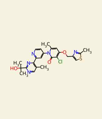 Cc1nc(COc2cc(C)n(-c3ccnc(-c4nc(C(C)(C)O)ncc4C)c3)c(=O)c2Cl)cs1